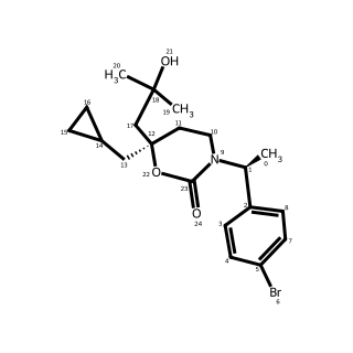 C[C@@H](c1ccc(Br)cc1)N1CC[C@](CC2CC2)(CC(C)(C)O)OC1=O